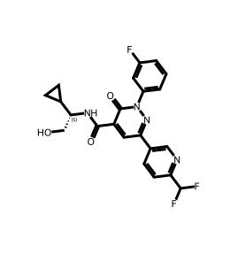 O=C(N[C@H](CO)C1CC1)c1cc(-c2ccc(C(F)F)nc2)nn(-c2cccc(F)c2)c1=O